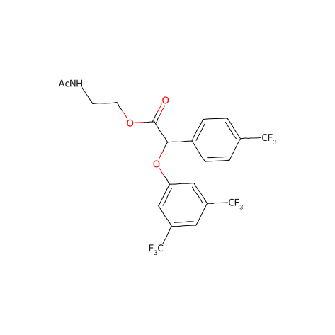 CC(=O)NCCOC(=O)C(Oc1cc(C(F)(F)F)cc(C(F)(F)F)c1)c1ccc(C(F)(F)F)cc1